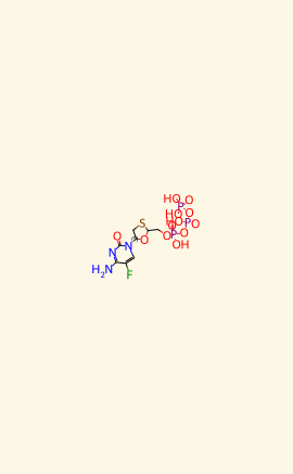 Nc1nc(=O)n([C@@H]2CSC(COP(=O)(O)OP(=O)(O)OP(=O)(O)O)O2)cc1F